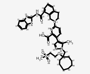 Cc1c(-c2ccc(N3CCc4cccc(C(=O)Nc5nc6ccccc6s5)c4C3)nc2C(=O)O)cnn1CC1(OCCS(C)(=O)=O)CCCCCCC1